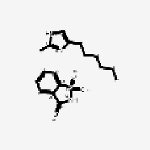 CCCCCCc1c[nH]c(C)n1.O=C1NS(=O)(=O)c2ccccc21